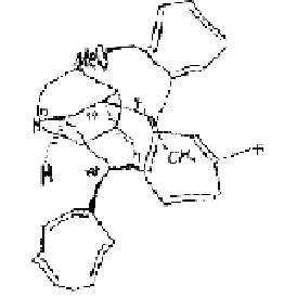 COc1ccccc1N(C)[C@@H]1C2CCN(CC2)[C@@H]1[C@H](c1ccccc1)c1ccc(F)cc1F